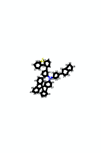 c1cc(-c2cccc3sc4ccccc4c23)cc(N(c2ccc(-c3ccc4ccccc4c3)cc2)c2ccc3c(c2)C2(c4ccccc4-c4ccccc42)c2ccccc2-3)c1